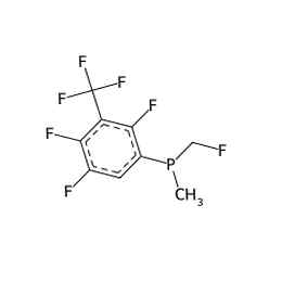 CP(CF)c1cc(F)c(F)c(C(F)(F)F)c1F